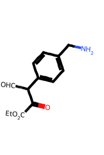 CCOC(=O)C(=O)C(C=O)c1ccc(CN)cc1